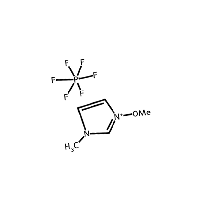 CO[n+]1ccn(C)c1.F[P-](F)(F)(F)(F)F